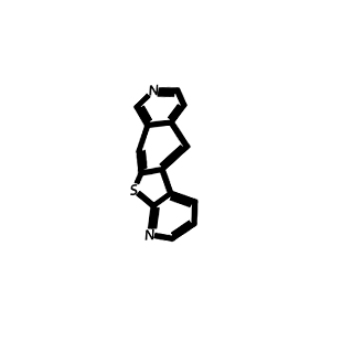 c1cnc2sc3cc4cnccc4cc3c2c1